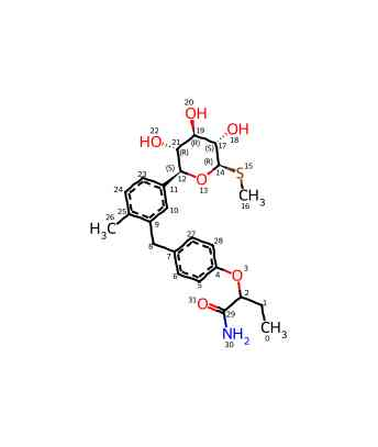 CCC(Oc1ccc(Cc2cc([C@@H]3O[C@H](SC)[C@@H](O)[C@H](O)[C@H]3O)ccc2C)cc1)C(N)=O